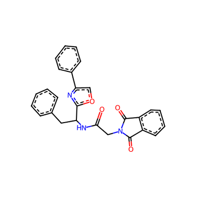 O=C(CN1C(=O)c2ccccc2C1=O)NC(Cc1ccccc1)c1nc(-c2ccccc2)co1